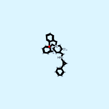 Fc1ccccc1C[N+]1(Cc2ccccc2F)CCC(CNC2CC2c2ccccc2)CC1.[Cl-]